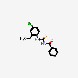 CCc1cc(Br)ccc1NC(=S)NC(=O)c1ccccc1